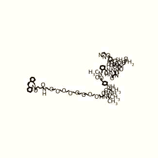 CC(C)[C@H](NC(=O)CCOCCOCCOCCOCCOCCOCCOCCOCCNC(=O)CCC(=O)N1Cc2ccccc2C#Cc2ccccc21)C(=O)N[C@@H](C)C(=O)Nc1ccc(COC(=O)N(C)Cc2ccccc2C(=O)Nc2nc3c(ncn3[C@@H]3O[C@H](CO[PH2]=O)[C@@H](O)[C@H]3O[P@](=O)(S)OC[C@H]3C[C@@H](Oc4ccncn4)C[C@@H]3OS)c(=O)[nH]2)cc1